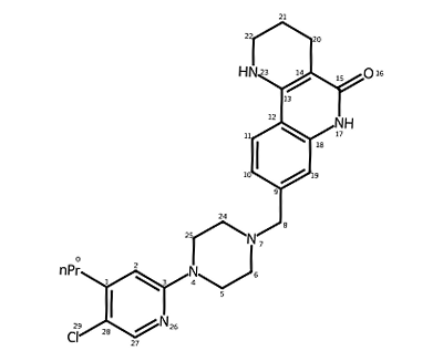 CCCc1cc(N2CCN(Cc3ccc4c5c(c(=O)[nH]c4c3)CCCN5)CC2)ncc1Cl